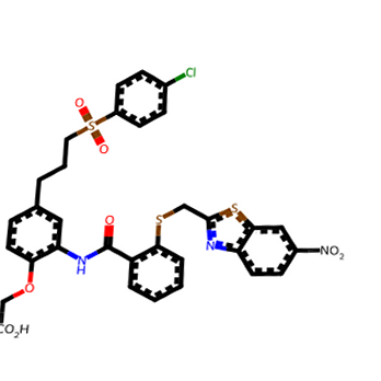 O=C(O)COc1ccc(CCCS(=O)(=O)c2ccc(Cl)cc2)cc1NC(=O)c1ccccc1SCc1nc2ccc([N+](=O)[O-])cc2s1